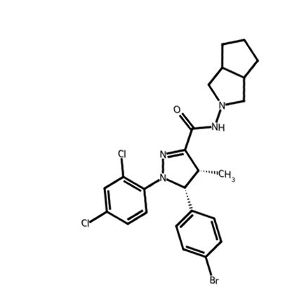 C[C@H]1C(C(=O)NN2CC3CCCC3C2)=NN(c2ccc(Cl)cc2Cl)[C@H]1c1ccc(Br)cc1